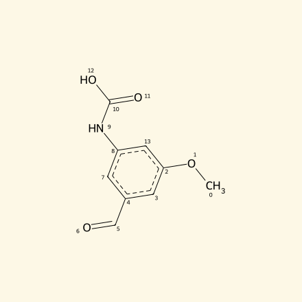 COc1cc(C=O)cc(NC(=O)O)c1